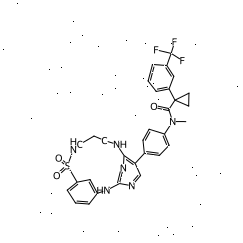 CN(C(=O)C1(c2cccc(C(F)(F)F)c2)CC1)c1ccc(-c2cnc3nc2NCCCNS(=O)(=O)c2cccc(c2)N3)cc1